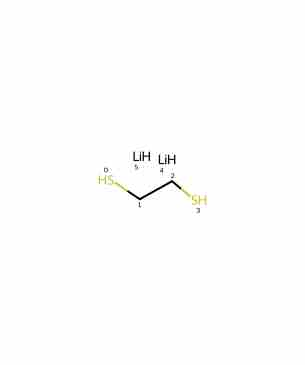 SCCS.[LiH].[LiH]